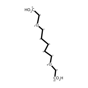 O=C(O)CO[CH]CCCCOCC(=O)O